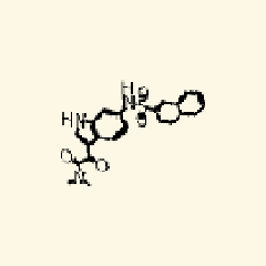 CN(C)C(=O)C(=O)c1c[nH]c2cc(NS(=O)(=O)c3ccc4ccccc4c3)ccc12